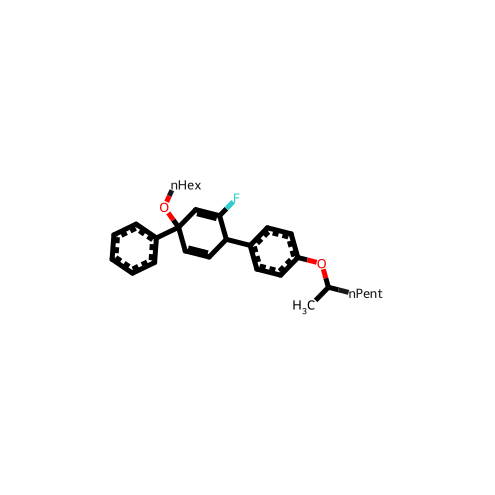 CCCCCCOC1(c2ccccc2)C=CC(c2ccc(OC(C)CCCCC)cc2)C(F)=C1